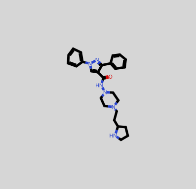 O=C(NN1CCN(CCC2CCCN2)CC1)c1cn(-c2ccccc2)nc1-c1ccccc1